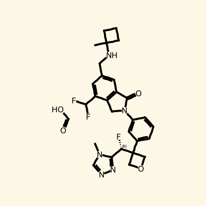 Cn1cnnc1[C@H](F)C1(c2cccc(N3Cc4c(cc(CNC5(C)CCC5)cc4C(F)F)C3=O)c2)COC1.O=CO